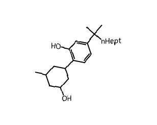 CCCCCCCC(C)(C)c1ccc(C2CC(C)CC(O)C2)c(O)c1